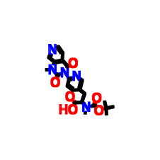 CN(C(=O)OC(C)(C)C)C(Cc1ccc(-n2c(=O)c3ccncc3n(C)c2=O)nc1)C(=O)O